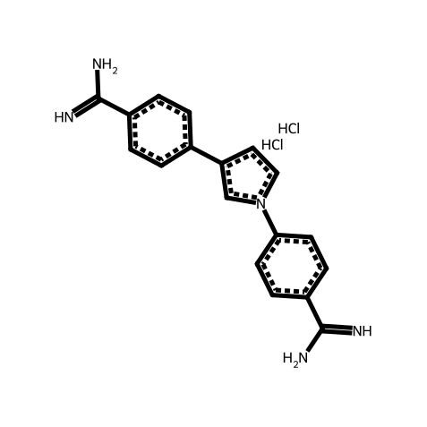 Cl.Cl.N=C(N)c1ccc(-c2ccn(-c3ccc(C(=N)N)cc3)c2)cc1